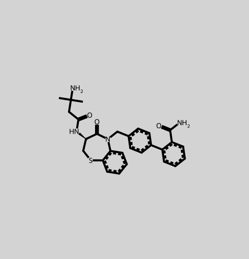 CC(C)(N)CC(=O)N[C@@H]1CSc2ccccc2N(Cc2ccc(-c3ccccc3C(N)=O)cc2)C1=O